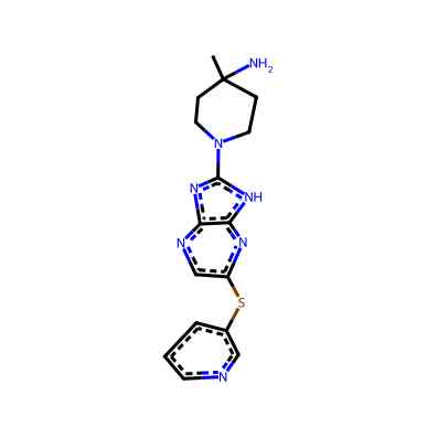 CC1(N)CCN(c2nc3ncc(Sc4cccnc4)nc3[nH]2)CC1